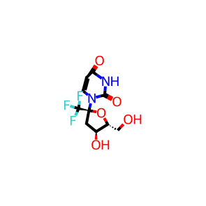 O=c1ccn([C@@]2(C(F)(F)F)C[C@H](O)[C@@H](CO)O2)c(=O)[nH]1